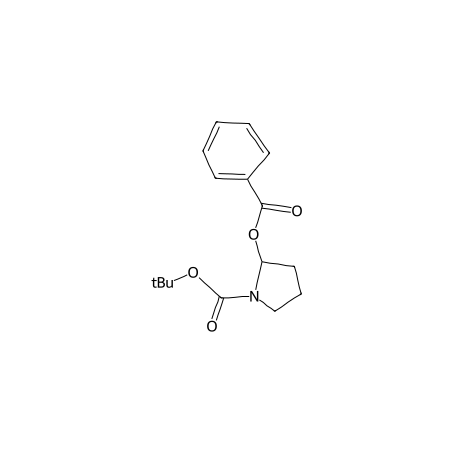 CC(C)(C)OC(=O)N1CCCC1OC(=O)c1ccccc1